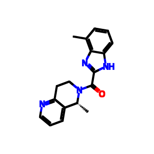 Cc1cccc2[nH]c(C(=O)N3CCc4ncccc4[C@H]3C)nc12